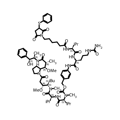 CC[C@H](C)[C@@H]([C@@H](CC(=O)N1CCCC1[C@H](OC)[C@@H](C)C(=O)N[C@H](C)[C@@H](O)c1ccccc1)OC)N(C)C(=O)[C@@H](NC(=O)[C@H](C(C)C)N(C)C(=O)OCc1ccc(NC(=O)[C@H](CCCNC(N)=O)NC(=O)[C@@H](NC(=O)CCCCCN2C(=O)CC(Sc3ccccc3)C2=O)C(C)C)cc1)C(C)C